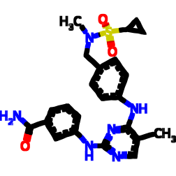 Cc1cnc(Nc2cccc(C(N)=O)c2)nc1Nc1ccc(CN(C)S(=O)(=O)C2CC2)cc1